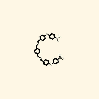 O=[N+]([O-])c1ccc(Oc2ccc(C=NCc3ccc(CN=Cc4ccc(Oc5ccc([N+](=O)[O-])cc5)cc4)cc3)cc2)cc1